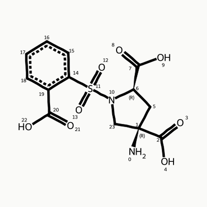 N[C@]1(C(=O)O)C[C@H](C(=O)O)N(S(=O)(=O)c2ccccc2C(=O)O)C1